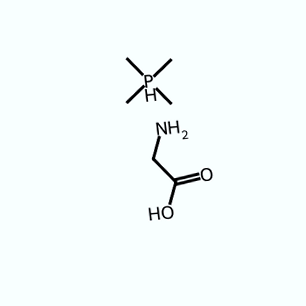 C[PH](C)(C)C.NCC(=O)O